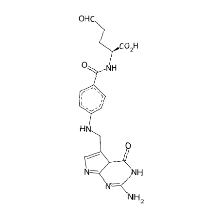 NC1=NC2=NC=C(CNc3ccc(C(=O)N[C@@H](CCC=O)C(=O)O)cc3)C2C(=O)N1